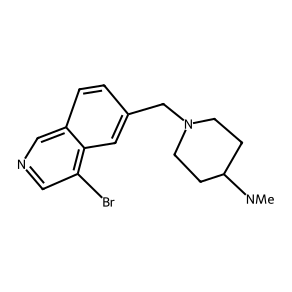 CNC1CCN(Cc2ccc3cncc(Br)c3c2)CC1